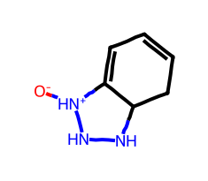 [O-][NH+]1NNC2CC=CC=C21